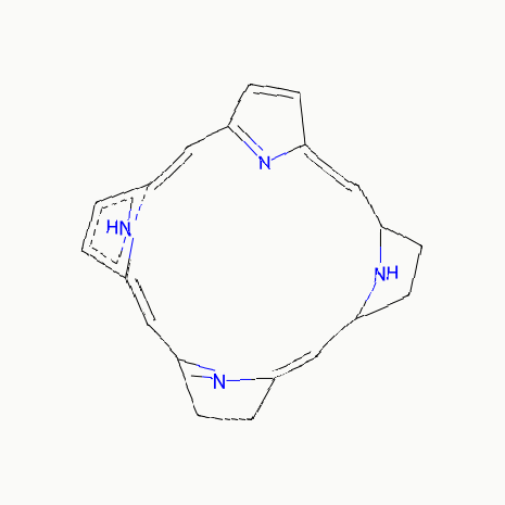 C1=CC2=NC1=CC1CCC(C=C3CCC(=N3)C=c3ccc([nH]3)=C2)N1